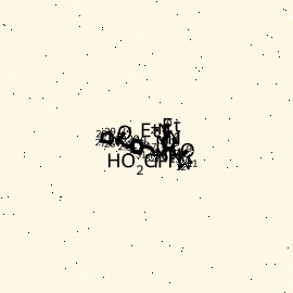 CCN(CC)c1ncc(N(C(=O)N(C)C)C(C)C)c(N[C@@H](Cc2ccc(CC(=O)N3CCCC3)cc2)C(=O)O)n1